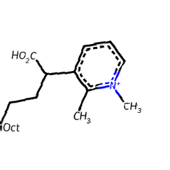 CCCCCCCCCCC(C(=O)O)c1ccc[n+](C)c1C